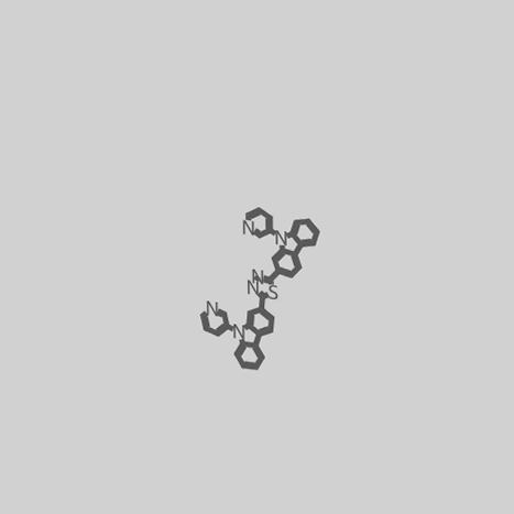 c1cncc(-n2c3ccccc3c3ccc(-c4nnc(-c5ccc6c7ccccc7n(-c7cccnc7)c6c5)s4)cc32)c1